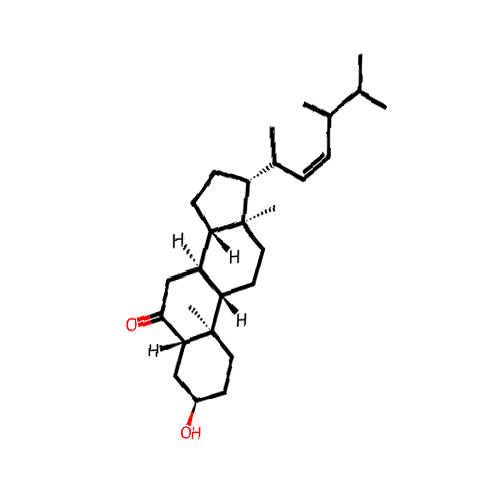 CC(C)C(C)/C=C\C(C)[C@H]1CC[C@H]2[C@@H]3CC(=O)[C@H]4C[C@H](O)CC[C@]4(C)[C@H]3CC[C@]12C